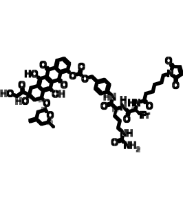 C=C1C[C@H](O[C@H]2C[C@](O)(C(=O)CO)Cc3c(O)c4c(c(O)c32)C(=O)c2c(OC(=O)OCc3ccc(NC(=O)[C@H](CCCNC(N)=O)NC(=O)[C@@H](NC(=O)CCCCCN5C(=O)C=CC5=O)C(C)C)cc3)cccc2C4=O)O[C@@H](C)C1